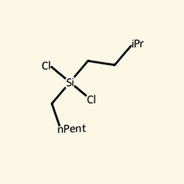 CCCCCC[Si](Cl)(Cl)CCC(C)C